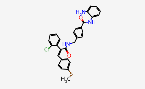 CSc1ccc(C=C(C(=O)NCc2ccc(C(=O)Nc3ccccc3N)cc2)c2ccccc2Cl)cc1